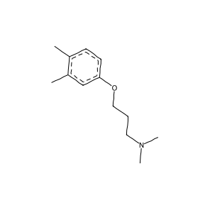 Cc1ccc(OCCCN(C)C)cc1C